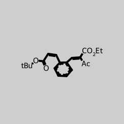 CCOC(=O)C(=Cc1ccccc1/C=C\C(=O)OC(C)(C)C)C(C)=O